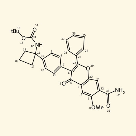 COc1cc2c(=O)c(-c3ccc(C4(NC(=O)OC(C)(C)C)CCC4)cc3)c(-c3ccccc3)oc2cc1C(N)=O